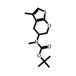 Cc1csc2c1CC(N(C)C(=O)OC(C)(C)C)CO2